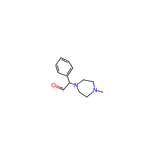 CN1CCN(C([C]=O)c2ccccc2)CC1